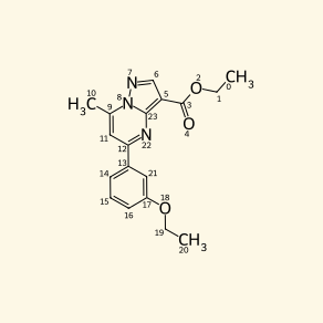 CCOC(=O)c1cnn2c(C)cc(-c3cccc(OCC)c3)nc12